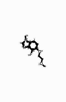 COCCOc1ccc2c(ncn2C)c1F